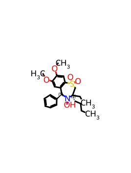 CCCC[C@@]1(CC)CS(=O)(=O)c2cc(OC)c(OC)cc2[C@H](c2ccccc2)N1O